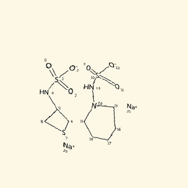 O=S(=O)([O-])NC1CSC1.O=S(=O)([O-])NN1CCCCC1.[Na+].[Na+]